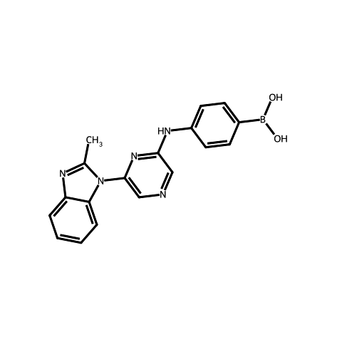 Cc1nc2ccccc2n1-c1cncc(Nc2ccc(B(O)O)cc2)n1